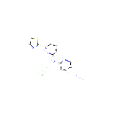 CC(C)NCc1ccc(Nc2cccc(-c3nccs3)n2)nc1.Cl.Cl.Cl